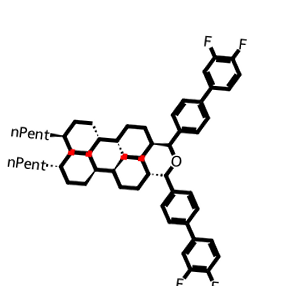 CCCCC[C@H]1CC[C@H]([C@H]2CC[C@H](C(OC(c3ccc(-c4ccc(F)c(F)c4)cc3)[C@H]3CC[C@H]([C@H]4CC[C@H](CCCCC)CC4)CC3)c3ccc(-c4ccc(F)c(F)c4)cc3)CC2)CC1